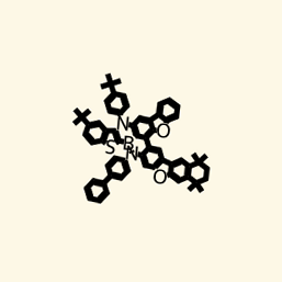 CC(C)(C)c1ccc(N2c3cc4c(oc5ccccc54)c4c3B(c3sc5ccc(C(C)(C)C)cc5c32)N(c2ccc(-c3ccccc3)cc2)c2cc3oc5cc6c(cc5c3cc2-4)C(C)(C)CCC6(C)C)cc1